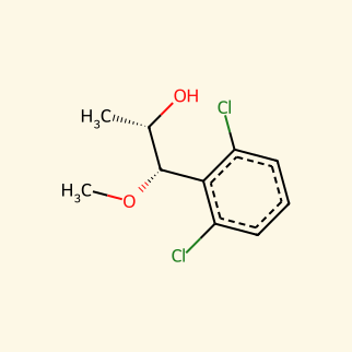 CO[C@@H](c1c(Cl)cccc1Cl)[C@H](C)O